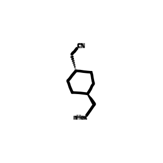 CCCCCCC[C@H]1CC[C@H](CC#N)CC1